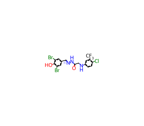 O=C(CNc1ccc(Cl)c(C(F)(F)F)c1)N/N=C/c1cc(Br)c(O)c(Br)c1